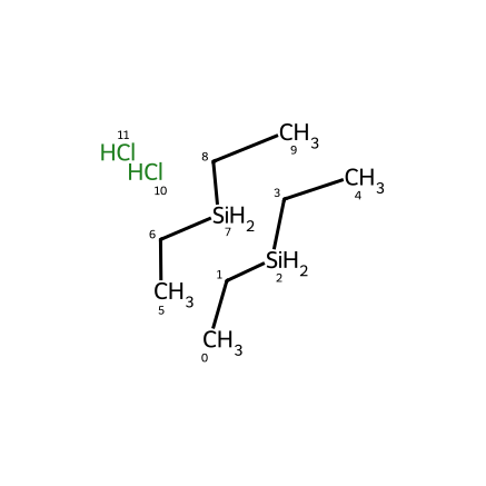 CC[SiH2]CC.CC[SiH2]CC.Cl.Cl